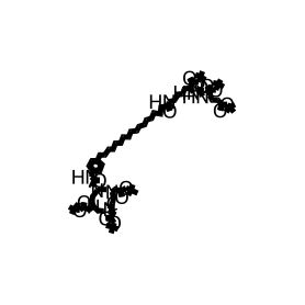 CC(C)(C)OC(=O)CCC(NC(=O)NC(CCCCNC(=O)CCCCCCCCCCCCCCCCCc1ccc(NC(=O)CN2CCN(CC(=O)OC(C)(C)C)CCN(CC(=O)OC(C)(C)C)CCN(CC(=O)OC(C)(C)C)CC2)cc1)C(=O)OC(C)(C)C)C(=O)OC(C)(C)C